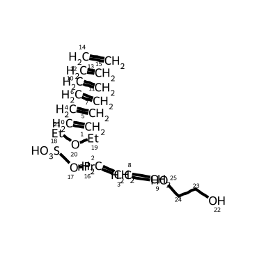 C=C.C=C.C=C.C=C.C=C.C=C.C=C.C=C.CCCOS(=O)(=O)O.CCOCC.OCCO